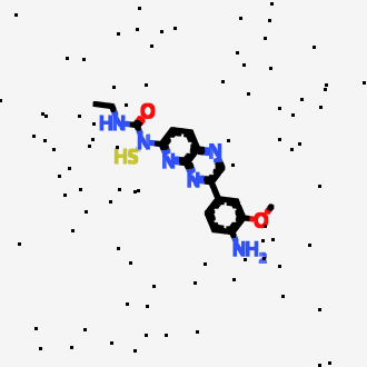 CCNC(=O)N(S)c1ccc2ncc(-c3ccc(N)c(OC)c3)nc2n1